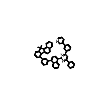 CC1(C)c2cccc(-c3cccc(-c4ccc(-c5nc(-c6ccccc6)cc(-c6cccc(-c7cccnc7)c6)n5)c5ccccc45)c3)c2-c2ccc3ccccc3c21